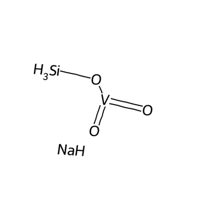 [NaH].[O]=[V](=[O])[O][SiH3]